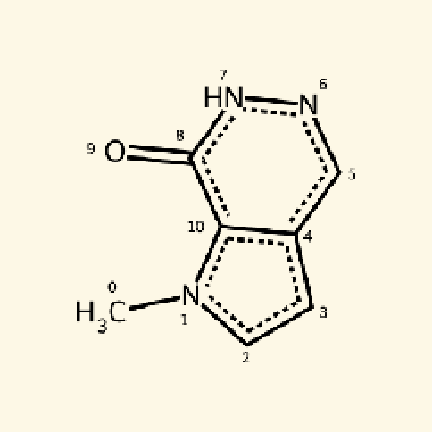 Cn1ccc2cn[nH]c(=O)c21